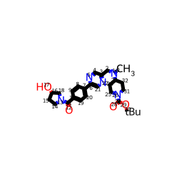 CN(Cc1cnc(-c2ccc(C(=O)N3CCC(O)C3)cc2)cn1)C1CCN(C(=O)OC(C)(C)C)CC1